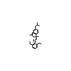 C=C(C)CC(C)(C=Nc1c(CC)cccc1CC)c1ccc(CC(C)C)cc1